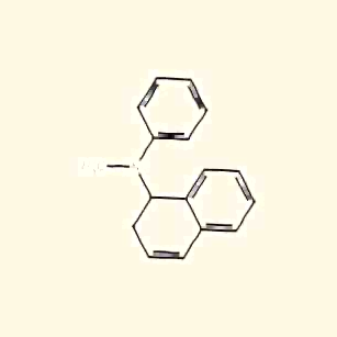 CN(c1ccccc1)C1CC=Cc2ccccc21